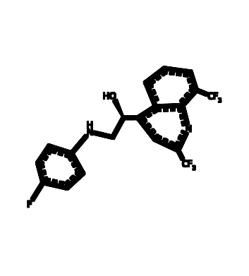 O[C@H](CNc1ccc(F)cc1)c1cc(C(F)(F)F)nc2c(C(F)(F)F)cccc12